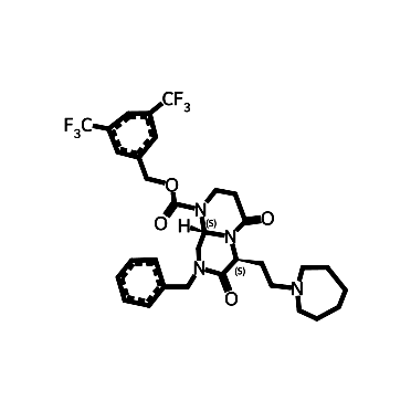 O=C1[C@H](CCN2CCCCCC2)N2C(=O)CCN(C(=O)OCc3cc(C(F)(F)F)cc(C(F)(F)F)c3)[C@H]2CN1Cc1ccccc1